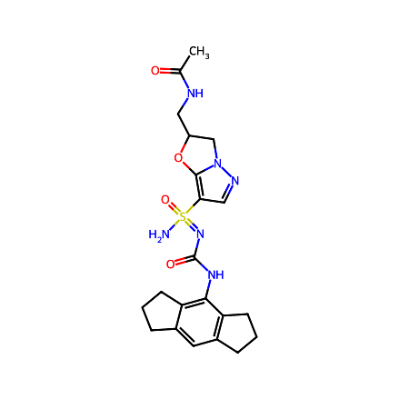 CC(=O)NCC1Cn2ncc(S(N)(=O)=NC(=O)Nc3c4c(cc5c3CCC5)CCC4)c2O1